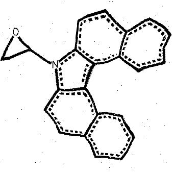 c1ccc2c(c1)ccc1c2c2c3ccccc3ccc2n1C1CO1